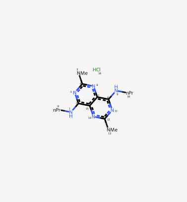 CCCNc1nc(NC)nc2c(NCCC)nc(NC)nc12.Cl